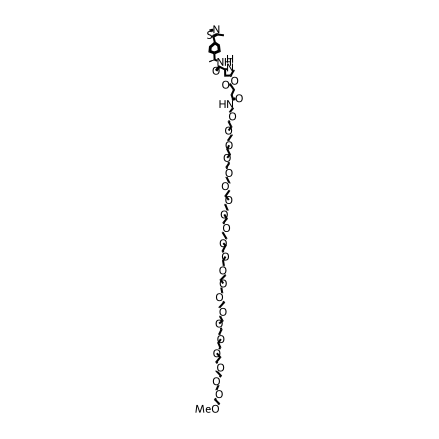 COCCOCCOCCOCCOCCOCCOCCOCCOCCOCCOCCOCCOCCOCCOCCOCCOCCOCCOCCOCCOCCOCCNC(=O)CCC(=O)OC1CNC(C(=O)N[C@@H](C)c2ccc(-c3scnc3C)cc2)C1